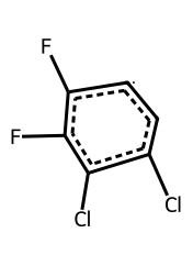 Fc1[c]cc(Cl)c(Cl)c1F